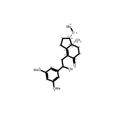 COc1cc(OC)cc(C(C#N)CC2=C3CC[C@H](OC(C)(C)C)[C@@]3(C)CCC2=O)c1